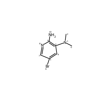 CN(C)c1cc(Br)cnc1N